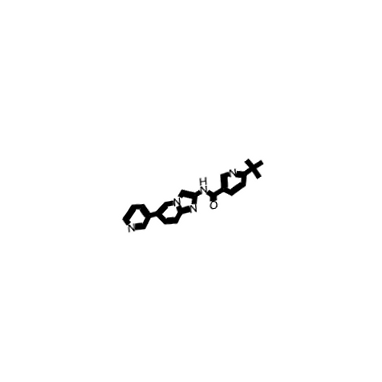 CC(C)(C)c1ccc(C(=O)Nc2cn3cc(-c4cccnc4)ccc3n2)cn1